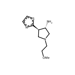 COCCN1C[C@@H](N)[C@H](c2nccs2)C1